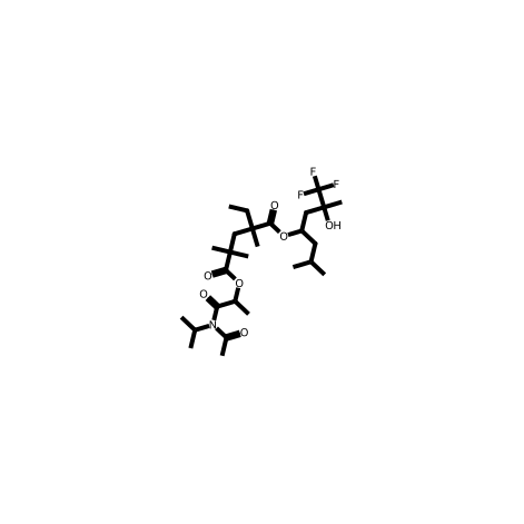 CCC(C)(CC(C)(C)C(=O)OC(C)C(=O)N(C(C)=O)C(C)C)C(=O)OC(CC(C)C)CC(C)(O)C(F)(F)F